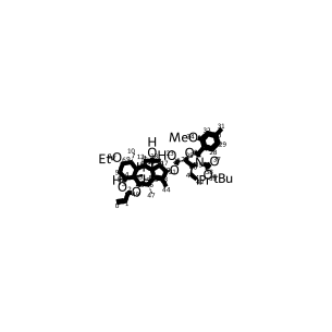 C=CC1O[C@H]2C[C@@H](OCC)[C@H](C)[C@H]3[C@H](C)[C@]4(C(C)(C)O)C[C@H](OC(O)[C@@H]5OC(c6ccc(C)cc6OC)N(C(=O)OC(C)(C)C)[C@H]5CC(C)C)C(C)=C4[C@H](C)[C@H](O1)[C@@]32C